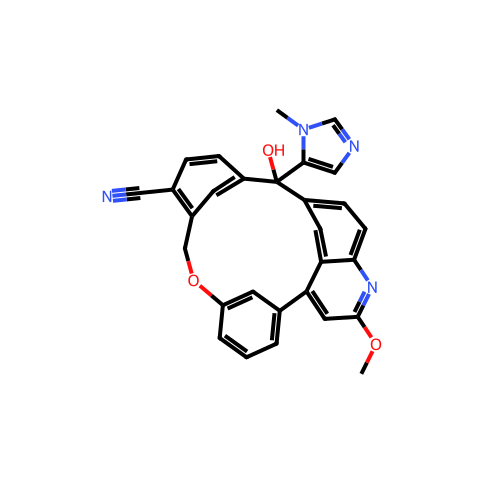 COc1cc2c3cc(ccc3n1)C(O)(c1cncn1C)c1ccc(C#N)c(c1)COc1cccc-2c1